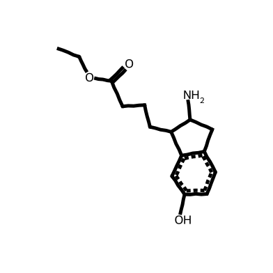 CCOC(=O)CCCC1c2cc(O)ccc2CC1N